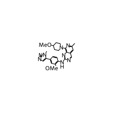 COc1cc(-c2cnnn2C)ccc1Nc1ncc2cc(C)nc(N3CCC(OC)CC3)c2n1